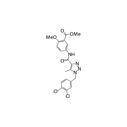 COC(=O)c1cc(NC(=O)c2nnn(Cc3ccc(Cl)c(Cl)c3)c2C)ccc1OC